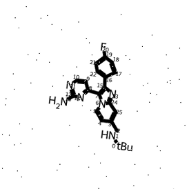 CC(C)(C)NCc1ccn2c(-c3ccnc(N)n3)c(-c3ccc(F)cc3)nc2c1